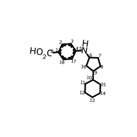 O=C(O)c1ccc(NC2CCC(C3CCCCC3)C2)cc1